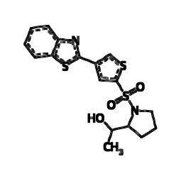 CC(O)C1CCCN1S(=O)(=O)c1cc(-c2nc3ccccc3s2)cs1